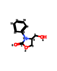 O=C1OCC(CO)N1c1ccccc1